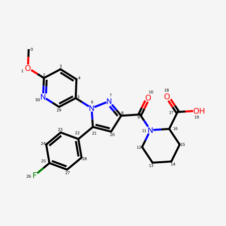 COc1ccc(-n2nc(C(=O)N3CCCCC3C(=O)O)cc2-c2ccc(F)cc2)cn1